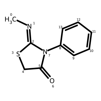 CN=C1SCC(=O)N1c1ccccc1